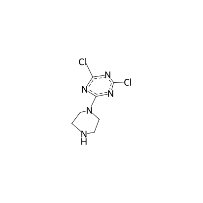 Clc1nc(Cl)nc(N2CCNCC2)n1